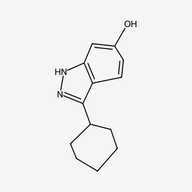 Oc1ccc2c(C3CCCCC3)n[nH]c2c1